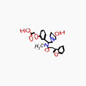 CN(C(=O)Cc1coc2ccccc12)C(CN1CCC(O)C1)c1cccc(OCC(=O)O)c1